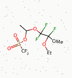 CCOC(F)(OC)C(F)(F)OC(C)OS(=O)(=O)C(F)(F)F